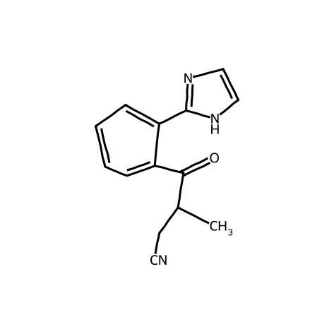 CC(CC#N)C(=O)c1ccccc1-c1ncc[nH]1